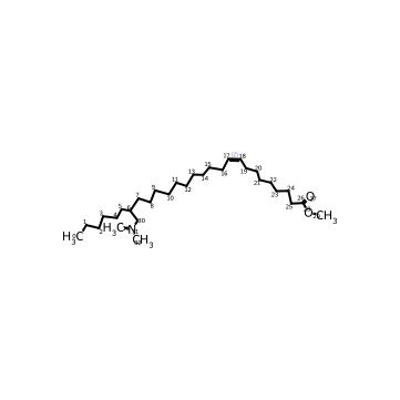 CCCCCCC(CCCCCCCCCC/C=C\CCCCCCCC(=O)OC)CN(C)C